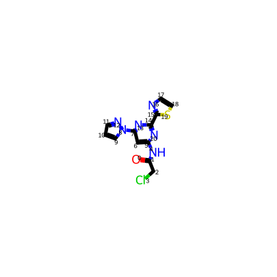 O=C(CCl)Nc1cc(-n2cccn2)nc(-c2nccs2)n1